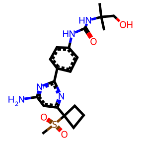 CC(C)(CO)NC(=O)Nc1ccc(-c2nc(N)cc(C3(S(C)(=O)=O)CCC3)n2)cc1